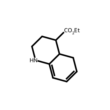 CCOC(=O)C1CCNC2=CC=CCC21